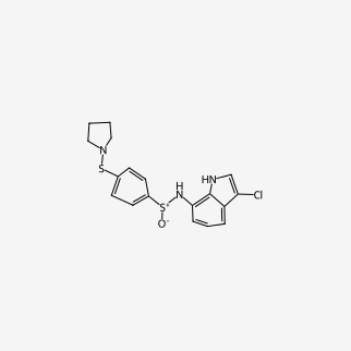 [O-][S+](Nc1cccc2c(Cl)c[nH]c12)c1ccc(SN2CCCC2)cc1